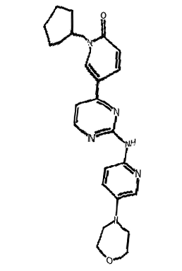 O=c1ccc(-c2ccnc(Nc3ccc(N4CCOCC4)cn3)n2)cn1C1CCCC1